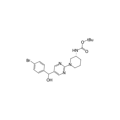 CC(C)(C)OC(=O)N[C@@H]1CCCN(c2ncc(C(O)c3ccc(Br)cc3)cn2)C1